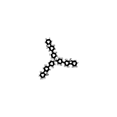 c1ccc2c(c1)sc1cc(-c3ccc(N(c4ccc(-c5ccc6c(c5)sc5ccccc56)cc4)c4ccc(-c5ccc6c(c5)sc5ccccc56)cc4)cc3)ccc12